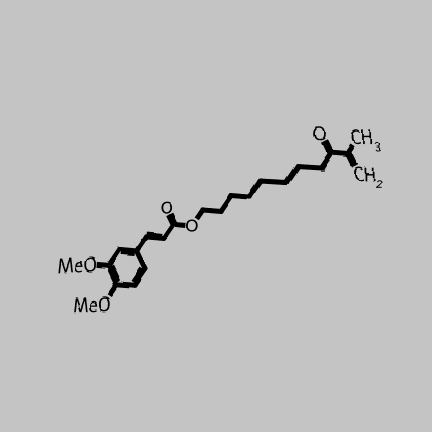 C=C(C)C(=O)CCCCCCCCOC(=O)/C=C/c1ccc(OC)c(OC)c1